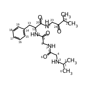 CC(C)NCC(=O)NCC(=O)NC(Cc1ccccc1)C(=O)NCC(=O)C(C)C